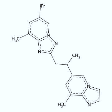 Cc1cc(C(C)Cc2nc3c(C)cc(C(C)C)cn3n2)cn2ccnc12